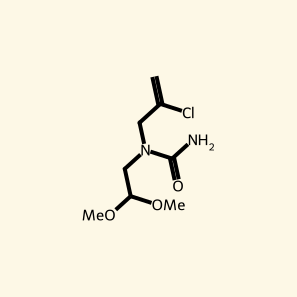 C=C(Cl)CN(CC(OC)OC)C(N)=O